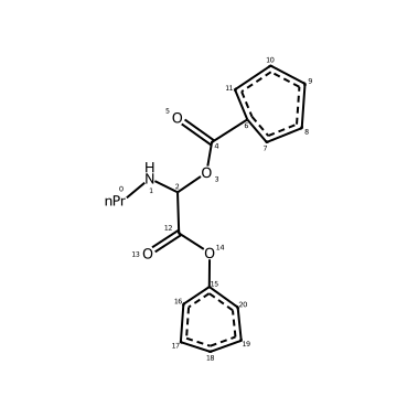 CCCNC(OC(=O)c1ccccc1)C(=O)Oc1ccccc1